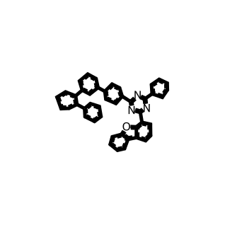 c1ccc(-c2nc(-c3ccc(-c4cccc(-c5ccccc5-c5ccccc5)c4)cc3)nc(-c3cccc4c3oc3ccccc34)n2)cc1